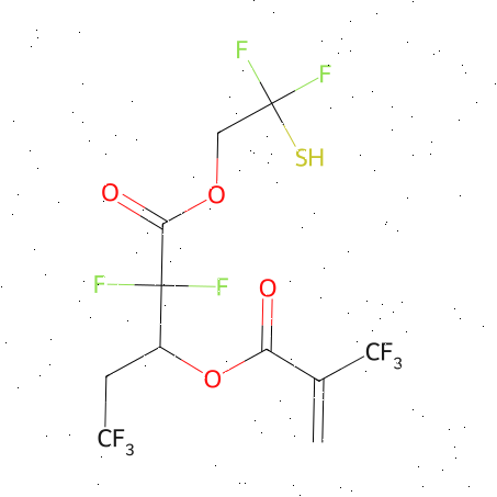 C=C(C(=O)OC(CC(F)(F)F)C(F)(F)C(=O)OCC(F)(F)S)C(F)(F)F